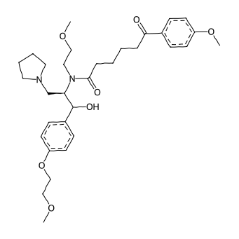 COCCOc1ccc(C(O)[C@@H](CN2CCCC2)N(CCOC)C(=O)CCCCC(=O)c2ccc(OC)cc2)cc1